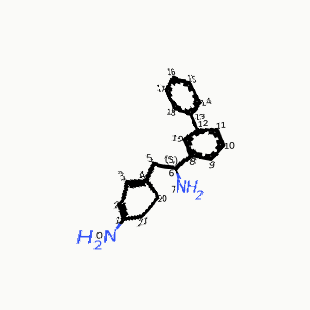 NC1=CC=C(C[C@H](N)c2cccc(-c3ccccc3)c2)CC1